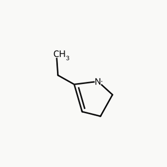 CCC1=CCC[N]1